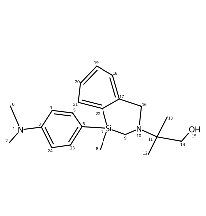 CN(C)c1ccc([Si]2(C)CN(C(C)(C)CO)Cc3ccccc32)cc1